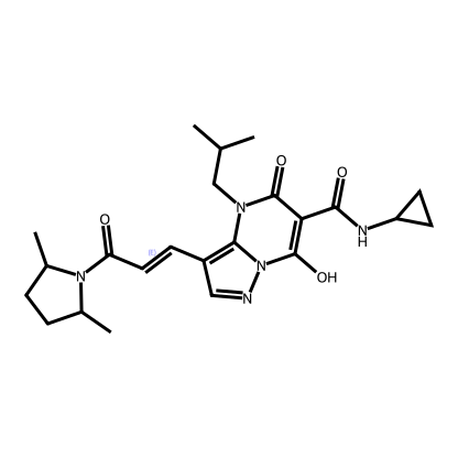 CC(C)Cn1c(=O)c(C(=O)NC2CC2)c(O)n2ncc(/C=C/C(=O)N3C(C)CCC3C)c12